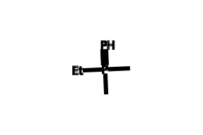 CCP(C)(C)=P